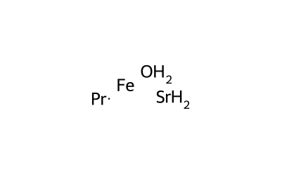 O.[Fe].[Pr].[SrH2]